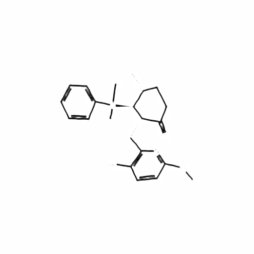 COc1ccc(Br)c(C[C@H]2C(=O)CC[C@@H](C)[C@@H]2S(C)(C)c2ccccc2)n1